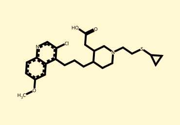 COc1ccc2ncc(Cl)c(CCCC3CCN(CCSC4CC4)CC3CC(=O)O)c2c1